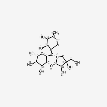 C[C@@H]1O[C@@H](OC2CO[C@H](C)[C@H](O)[C@@H]2O)[C@H](O[C@@H]2OC[C@](O)(CO)[C@H]2O)[C@H](O)[C@H]1O